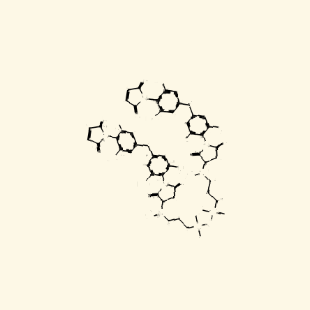 CCc1cc(Cc2cc(CC)c(N3C(=O)CC(N(CCC[Si](C)(C)O[Si](C)(C)CCCN(C(C)=O)C4CC(=O)N(c5c(CC)cc(Cc6cc(CC)c(N7C(=O)C=CC7=O)c(CC)c6)cc5CC)C4=O)C(C)=O)C3=O)c(CC)c2)cc(CC)c1N1C(=O)C=CC1=O